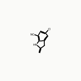 C=C1Cc2cc(Cl)cc(C#N)c2N1